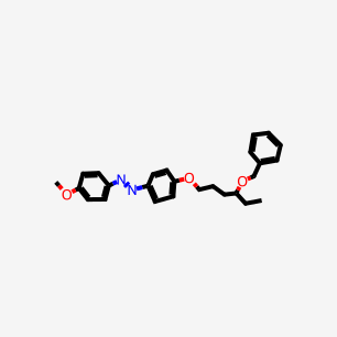 CCC(CCCOc1ccc(N=Nc2ccc(OC)cc2)cc1)OCc1ccccc1